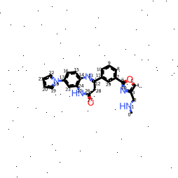 CNCc1coc(-c2cccc(C3=Nc4ccc(-n5cccc5)cc4NC(=O)C3)c2)n1